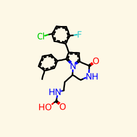 Cc1cccc(-c2c(-c3cc(Cl)ccc3F)cc3n2C(CCNC(=O)O)CNC3=O)c1